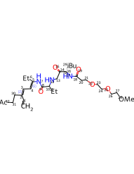 C=C/C(=C\C=C(/CC)NC(=O)C(CC)NCC(=O)[C@@H](NC(=O)CCOCCOCCOC)C(C)CC)CCC(C)=O